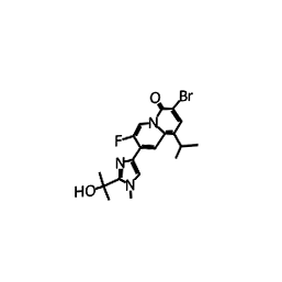 CC(C)c1cc(Br)c(=O)n2cc(F)c(-c3cn(C)c(C(C)(C)O)n3)cc12